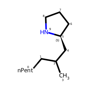 CCCCCCC(C)C[C@@H]1CCCN1